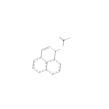 CCCC(=O)OC1C=Cc2cccc3cccc1c23